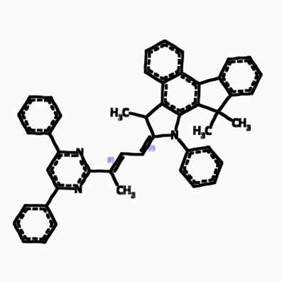 C/C(=C\C=C1/C(C)c2c(c3c(c4ccccc24)-c2ccccc2C3(C)C)N1c1ccccc1)c1nc(-c2ccccc2)cc(-c2ccccc2)n1